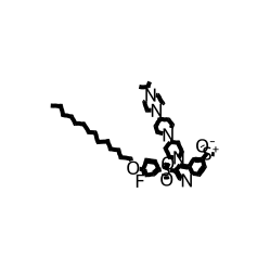 CCCCCCCCCCCCCCOc1ccc(S(=O)(=O)c2cnc3ccc([S+](C)[O-])cc3c2N2CCC(N3CCC(N4CCN(C(C)C)CC4)CC3)CC2)cc1F